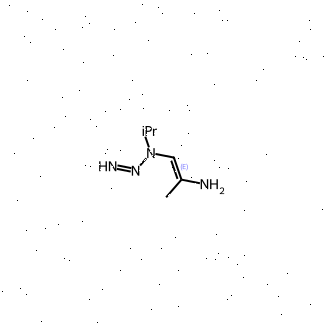 C/C(N)=C\N(N=N)C(C)C